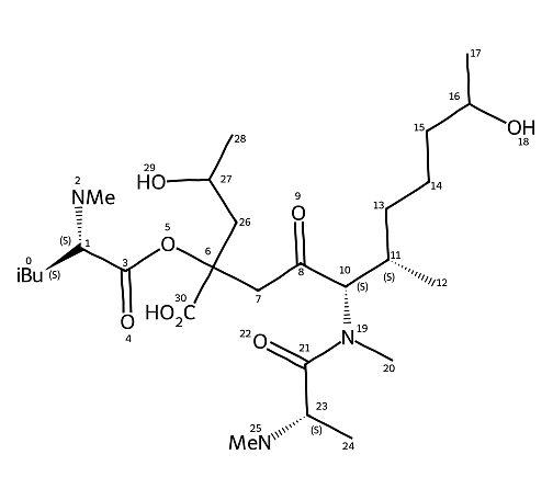 CC[C@H](C)[C@H](NC)C(=O)OC(CC(=O)[C@H]([C@@H](C)CCCC(C)O)N(C)C(=O)[C@H](C)NC)(CC(C)O)C(=O)O